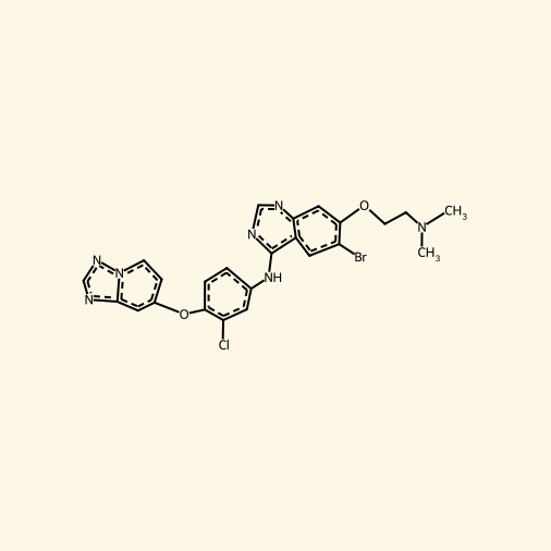 CN(C)CCOc1cc2ncnc(Nc3ccc(Oc4ccn5ncnc5c4)c(Cl)c3)c2cc1Br